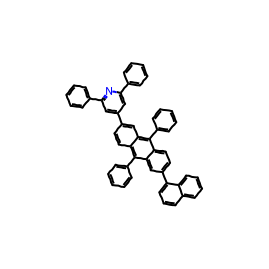 c1ccc(-c2cc(-c3ccc4c(-c5ccccc5)c5cc(-c6cccc7ccccc67)ccc5c(-c5ccccc5)c4c3)cc(-c3ccccc3)n2)cc1